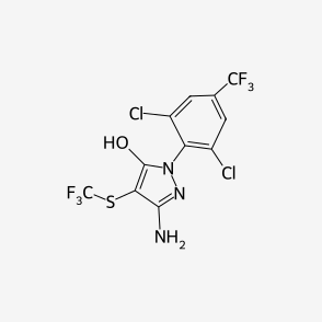 Nc1nn(-c2c(Cl)cc(C(F)(F)F)cc2Cl)c(O)c1SC(F)(F)F